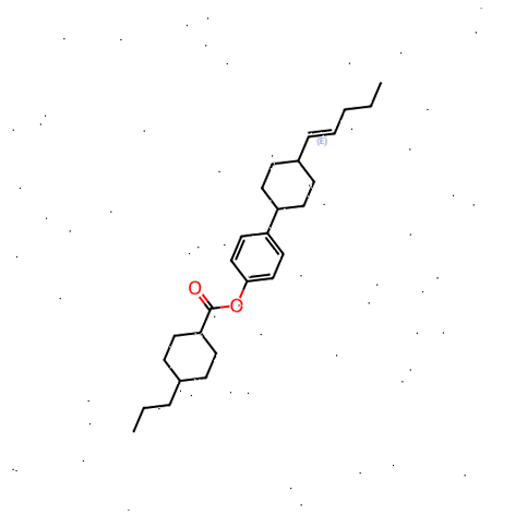 CCC/C=C/C1CCC(c2ccc(OC(=O)C3CCC(CCC)CC3)cc2)CC1